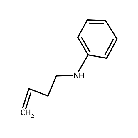 C=CCCNc1ccccc1